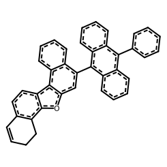 C1=Cc2ccc3c(oc4cc(-c5c6ccccc6c(-c6ccccc6)c6ccccc56)c5ccccc5c43)c2CC1